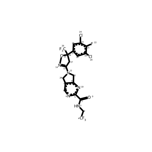 O=C(NCC(F)(F)F)c1ncc2c(n1)CN(C1=NOC(c3cc(Cl)c(F)c(Cl)c3)(C(F)(F)F)C1)C2